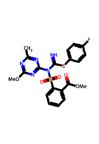 COC(=O)c1ccccc1S(=O)(=O)N(C(=N)Sc1ccc(F)cc1)c1nc(C)nc(OC)n1